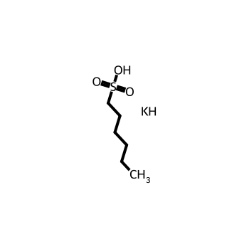 CCCCCCS(=O)(=O)O.[KH]